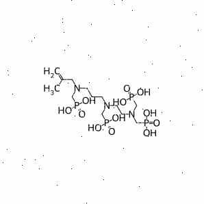 C=C(C)CN(CCCN(CCN(CP(=O)(O)O)CP(=O)(O)O)CP(=O)(O)O)CP(=O)(O)O